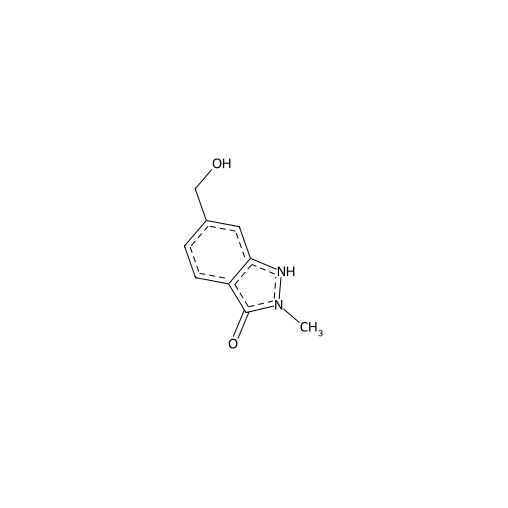 Cn1[nH]c2cc(CO)ccc2c1=O